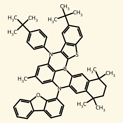 Cc1cc2c3c(c1)N(c1cccc4c1oc1ccccc14)c1cc4c(cc1B3c1sc3ccc(C(C)(C)C)cc3c1N2c1ccc(C(C)(C)C)cc1)C(C)(C)CCC4(C)C